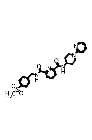 CS(=O)(=O)c1ccc(CNC(=O)c2cccc(C(=O)NC3CCN(c4ccccn4)CC3)n2)cc1